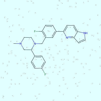 CN1CCN(Cc2cc(-c3ccc4[nH]ccc4n3)ccc2F)C(c2ccc(F)cc2)C1